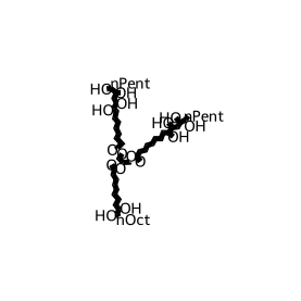 CCCCCCCCC(O)C(O)CCCCCCCC(=O)OC(COC(=O)CCCCCCCC(O)C(O)CC(O)C(O)CCCCC)COC(=O)CCCCCCCC(O)C(O)CC(O)C(O)CCCCC